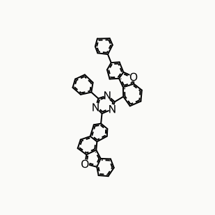 c1ccc(-c2ccc3c(c2)oc2cccc(-c4nc(-c5ccccc5)nc(-c5ccc6c(ccc7oc8ccccc8c76)c5)n4)c23)cc1